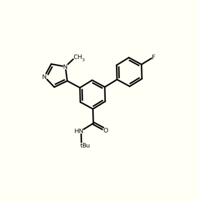 Cn1cncc1-c1cc(C(=O)NC(C)(C)C)cc(-c2ccc(F)cc2)c1